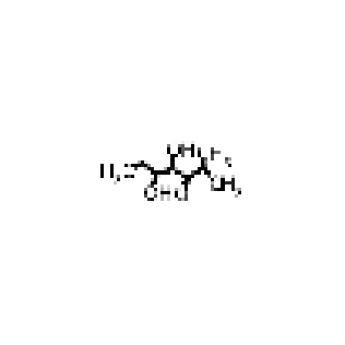 CCC(O)C(O)C(=O)C(C)C